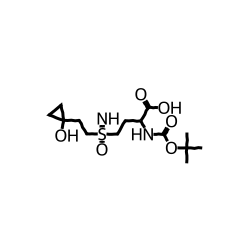 CC(C)(C)OC(=O)NC(CCS(=N)(=O)CCC1(O)CC1)C(=O)O